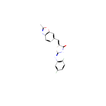 Cc1nc2ccc(/C=C3\S/C(=N/c4cc(F)ccc4F)NC3=O)cc2o1